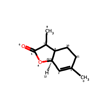 CC1=C[C@H]2OC(=O)C(C)C2CC1